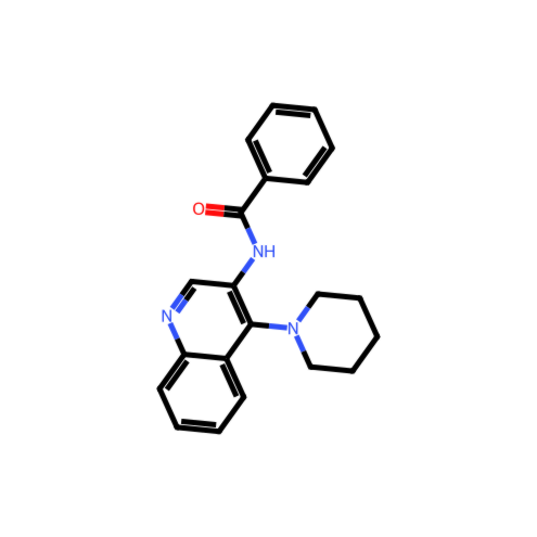 O=C(Nc1cnc2ccccc2c1N1CCCCC1)c1ccccc1